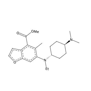 CCN(c1cc2occc2c(C(=O)OC)c1C)[C@H]1CC[C@H](N(C)C)CC1